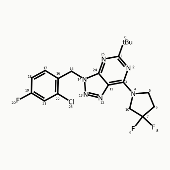 CC(C)(C)c1nc(N2CCC(F)(F)C2)c2nnn(Cc3ccc(F)cc3Cl)c2n1